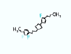 CCCCc1ccc(C2CCC(CCCc3ccc(CC)c(F)c3F)CC2)cc1F